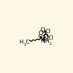 CCCCCCCC(=O)N(N)c1cc(C(Cl)(Cl)Cl)cc(Cl)n1